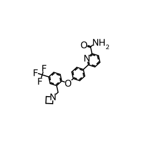 NC(=O)c1cccc(-c2ccc(Oc3ccc(C(F)(F)F)cc3CN3CCC3)cc2)n1